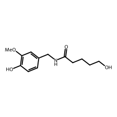 COc1cc(CNC(=O)CCCCO)ccc1O